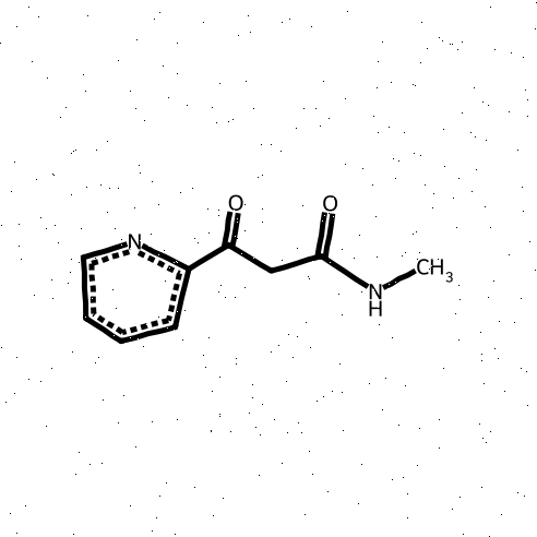 CNC(=O)CC(=O)c1ccccn1